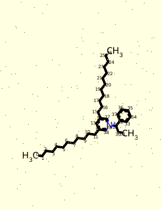 CCCCCCCCCCCCc1cc(CCCCCCCCCCCC)c[n+](C(CC)c2ccccc2)c1